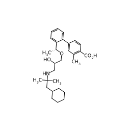 Cc1cc(-c2ccccc2[C@@H](C)OCC(O)CNC(C)(C)CC2CCCCC2)ccc1C(=O)O